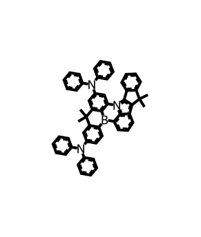 CC1(C)c2cc(N(c3ccccc3)c3ccccc3)ccc2B2c3c(cc(N(c4ccccc4)c4ccccc4)cc31)-n1c3c(c4cccc2c41)C(C)(C)c1ccccc1-3